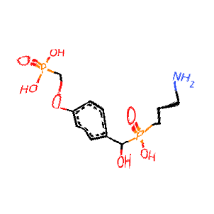 NCCCP(=O)(O)C(O)c1ccc(OCP(=O)(O)O)cc1